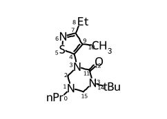 CCCN1CN(c2snc(CC)c2C)C(=O)N(C(C)(C)C)C1